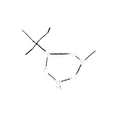 CB1OBOB(C(C)(C)C)O1